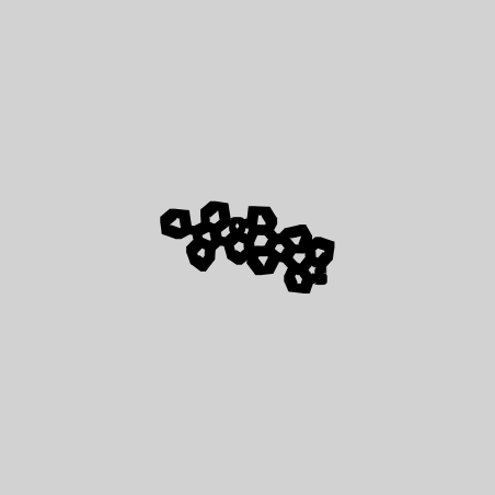 c1ccc(-c2c3ccccc3c(-c3cccc4c3oc3cccc(-c5c6ccccc6c(-c6cccc7sc8ccccc8c67)c6ccccc56)c34)c3ccccc23)cc1